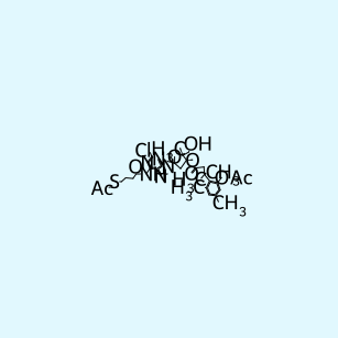 CC(=O)Oc1cc(C)cc(C)c1C(C)(C)CC(=O)O[C@H]1C[C@H](n2cnc3c(NC(=O)CCCSC(C)=O)nc(Cl)nc32)O[C@]1(C)CO